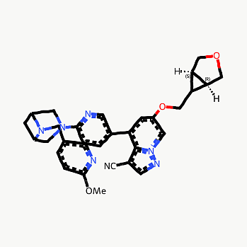 COc1ccc(CN2C3CC2CN(c2ccc(-c4cc(OCC5[C@H]6COC[C@@H]56)cn5ncc(C#N)c45)cn2)C3)cn1